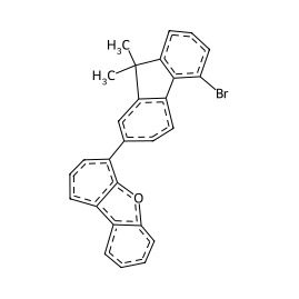 CC1(C)c2cc(-c3cccc4c3oc3ccccc34)ccc2-c2c(Br)cccc21